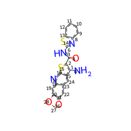 Nc1c(C(=O)Nc2nc3ccccc3s2)sc2nc3cc4c(cc3cc12)OCO4